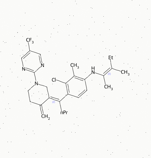 C=C1CCN(c2ncc(C(F)(F)F)cn2)C/C1=C(/CCC)c1ccc(N/C(C)=C(/C)CC)c(C)c1Cl